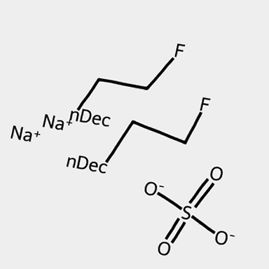 CCCCCCCCCCCCF.CCCCCCCCCCCCF.O=S(=O)([O-])[O-].[Na+].[Na+]